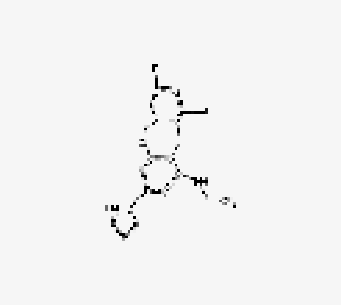 Fc1cc(F)c(Cc2c(Cl)nc(-c3ccc[nH]3)nc2NCC(F)(F)F)c(F)c1